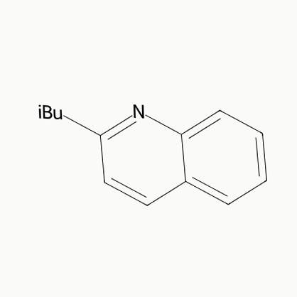 C[CH]C(C)c1ccc2ccccc2n1